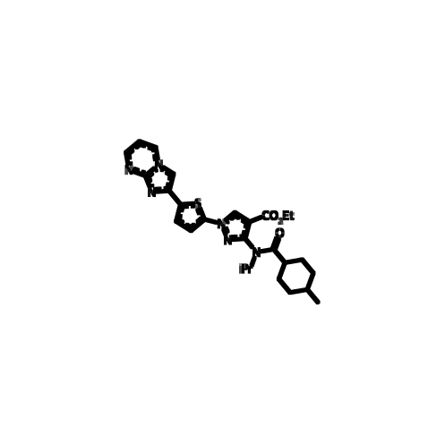 CCOC(=O)c1cn(-c2ccc(-c3cn4cccnc4n3)s2)nc1N(C(=O)C1CCC(C)CC1)C(C)C